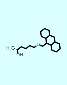 C[C@@H](O)CCCCOCC1C2CCCCC2CC2CCCCC21